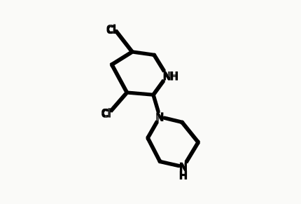 ClC1CNC(N2CCNCC2)C(Cl)C1